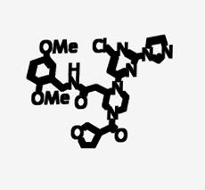 COc1ccc(OC)c(CNC(=O)CC2CN(C(=O)C3CCOC3)CCN2c2cc(Cl)nc(-n3ccnc3)n2)c1